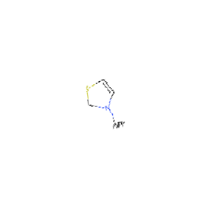 CCCN1C=CSC1